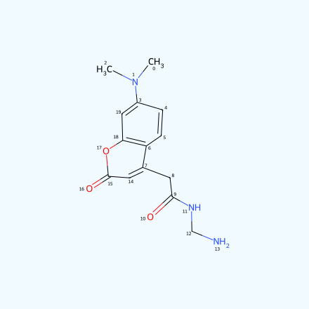 CN(C)c1ccc2c(CC(=O)NCN)cc(=O)oc2c1